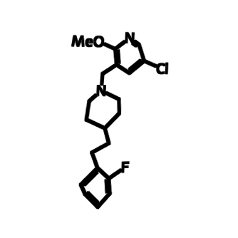 COc1ncc(Cl)cc1CN1CCC(CCc2ccccc2F)CC1